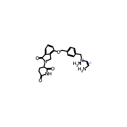 N/C=C\N(N)Cc1ccc(COc2cccc3c2CN(C2CCC(=O)NC2=O)C3=O)cc1